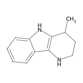 CC1CCNc2c1[nH]c1ccccc21